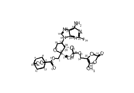 C#C[C@]1(COC(=O)C23CCC(CC2)CC3)OCC(n2cnc3c(N)nc(F)nc32)[C@@H]1OC(=O)OCc1oc(=O)oc1C